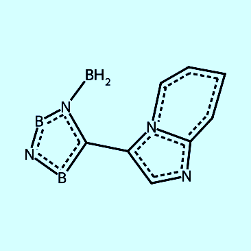 Bn1bnbc1-c1cnc2ccccn12